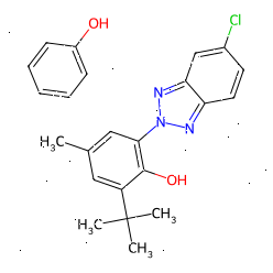 Cc1cc(-n2nc3ccc(Cl)cc3n2)c(O)c(C(C)(C)C)c1.Oc1ccccc1